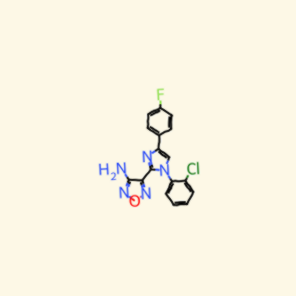 Nc1nonc1-c1nc(-c2ccc(F)cc2)cn1-c1ccccc1Cl